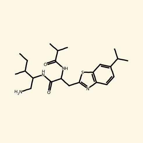 CCC(C)C(CN)NC(=O)C(Cc1nc2ccc(C(C)C)cc2s1)NC(=O)C(C)C